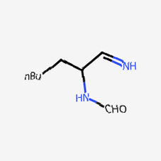 CCCCCC(C=N)NC=O